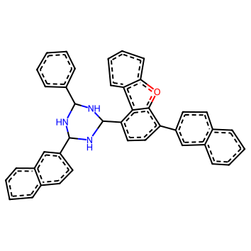 c1ccc(C2NC(c3ccc4ccccc4c3)NC(c3ccc(-c4ccc5ccccc5c4)c4oc5ccccc5c34)N2)cc1